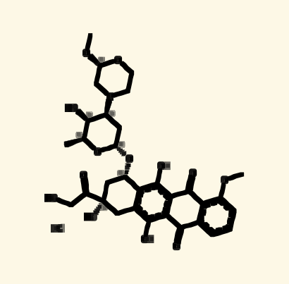 COc1cccc2c1C(=O)c1c(O)c3c(c(O)c1C2=O)C[C@@](O)(C(=O)CO)C[C@@H]3O[C@H]1C[C@H](N2CCO[C@H](OC)C2)[C@H](O)[C@H](C)O1.Cl